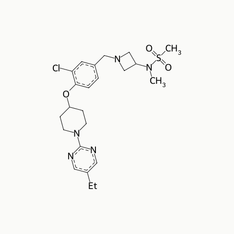 CCc1cnc(N2CCC(Oc3ccc(CN4CC(N(C)S(C)(=O)=O)C4)cc3Cl)CC2)nc1